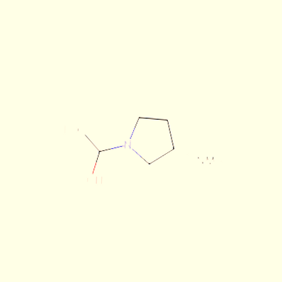 CN[C@H]1CCN(C(C)O)C1